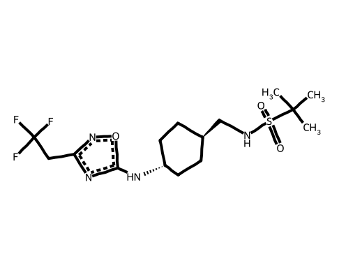 CC(C)(C)S(=O)(=O)NC[C@H]1CC[C@H](Nc2nc(CC(F)(F)F)no2)CC1